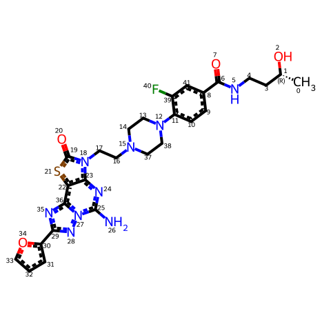 C[C@@H](O)CCNC(=O)c1ccc(N2CCN(CCn3c(=O)sc4c3nc(N)n3nc(-c5ccco5)nc43)CC2)c(F)c1